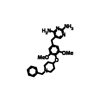 COc1cc(Cc2cnc(N)nc2N)cc(OC)c1OC1CCN(Cc2ccccc2)CC1